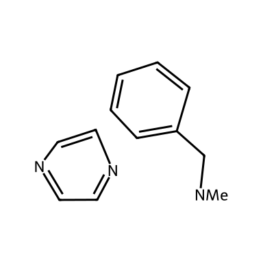 CNCc1ccccc1.c1cnccn1